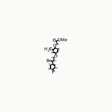 COC(=O)COc1ccc(OC/C=C(\Br)c2ccc(F)cc2)cc1C